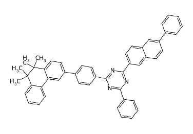 CC1(C)c2ccccc2-c2cc(-c3ccc(-c4nc(-c5ccccc5)nc(-c5ccc6cc(-c7ccccc7)ccc6c5)n4)cc3)ccc2C1(C)C